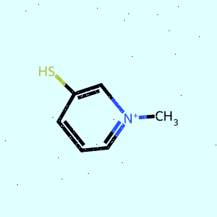 C[n+]1cccc(S)c1